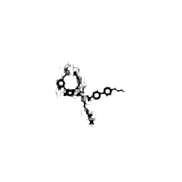 CCCCc1ccc(-c2ccc(C(=O)N[C@@H](CCCCNC(=O)OC(C)(C)C)C(=O)N(C)[C@@H]3C(=O)N[C@@H](C)C(=O)N[C@H](C(=O)O)Cc4ccc(O)c(c4)-c4cc3ccc4O)cc2)cc1